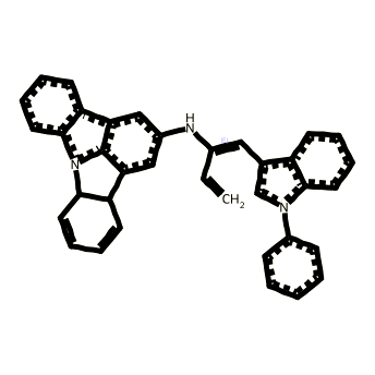 C=C/C(=C\c1cn(-c2ccccc2)c2ccccc12)Nc1cc2c3c(c1)c1ccccc1n3C1C=CC=CC21